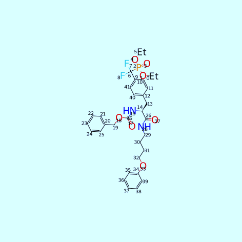 CCOP(=O)(OCC)C(F)(F)c1ccc(C[C@H](NC(=O)OCc2ccccc2)C(=O)NCCCCOc2ccccc2)cc1